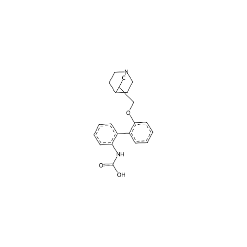 O=C(O)Nc1ccccc1-c1ccccc1OCC1CN2CCC1CC2